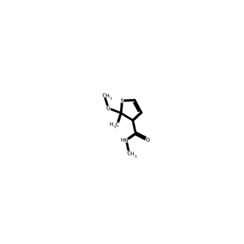 CNC(=O)C1C=CSC1(C)OC